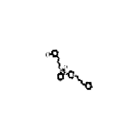 O=c1n(CCCCc2cccc(Cl)c2)c2ccccc2n1C1CCN(CCCCc2ccccc2)CC1